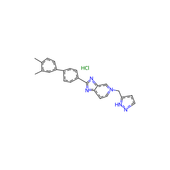 Cc1ccc(-c2ccc(-c3nc4ccn(Cc5ccn[nH]5)cc-4n3)cc2)cc1C.Cl